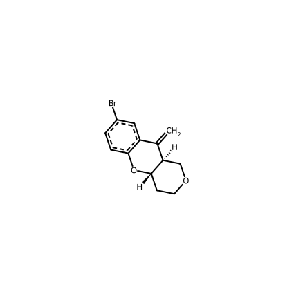 C=C1c2cc(Br)ccc2O[C@H]2CCOC[C@H]12